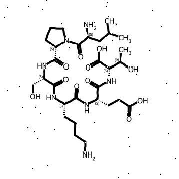 CC(C)C[C@H](N)C(=O)N1CCC[C@H]1C(=O)N[C@@H](CO)C(=O)N[C@@H](CCCCN)C(=O)N[C@@H](CCC(=O)O)C(=O)N[C@H](C(=O)O)[C@@H](C)O